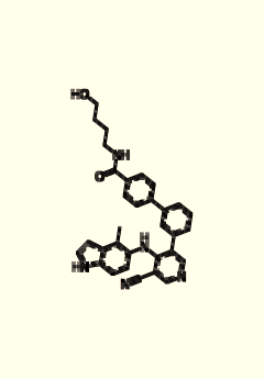 Cc1c(Nc2c(C#N)cncc2-c2cccc(-c3ccc(C(=O)NCCCCO)cc3)c2)ccc2[nH]ccc12